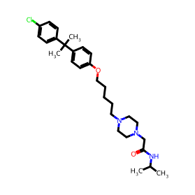 CC(C)NC(=O)CN1CCN(CCCCCOc2ccc(C(C)(C)c3ccc(Cl)cc3)cc2)CC1